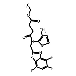 CCOC(=O)CCC(=O)N(Cc1nc2c(F)c(F)cc(F)c2s1)c1sccc1C